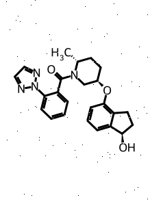 C[C@@H]1CC[C@@H](Oc2cccc3c2CC[C@H]3O)CN1C(=O)c1ccccc1-n1nccn1